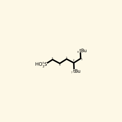 CC(C)(C)CC(CCCS(=O)(=O)O)C(C)(C)C